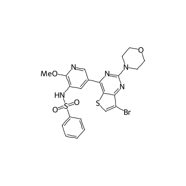 COc1ncc(-c2nc(N3CCOCC3)nc3c(Br)csc23)cc1NS(=O)(=O)c1ccccc1